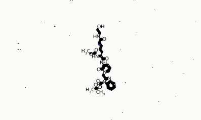 COC(=O)N[C@@H](CC/C=C/C(=O)NCCO)C(=O)Nc1cccn(Cc2nc3ccccc3n2C(=O)OC(C)(C)C)c1=O